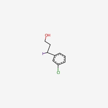 OCCC(I)c1cccc(Cl)c1